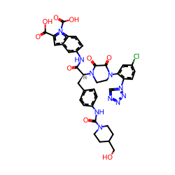 O=C(O)c1cc2cc(NC(=O)[C@H](Cc3ccc(NC(=O)N4CCC(CO)CC4)cc3)N3CCN(c4cc(Cl)ccc4-n4cnnn4)C(=O)C3=O)ccc2n1C(=O)O